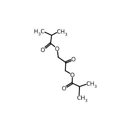 CC(C)C(=O)OCC(=O)COC(=O)C(C)C